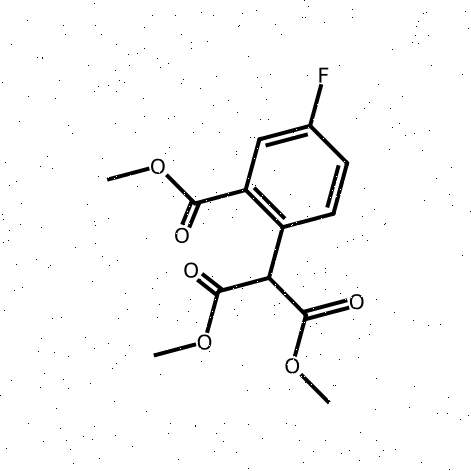 COC(=O)c1cc(F)ccc1C(C(=O)OC)C(=O)OC